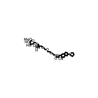 COC1OC(CN/C=C(/COCCOCCOCCNC(=O)/C(C#N)=C/c2ccc3cc(N4CCCCC4)ccc3c2)N=N)C(O)C(O)C1O